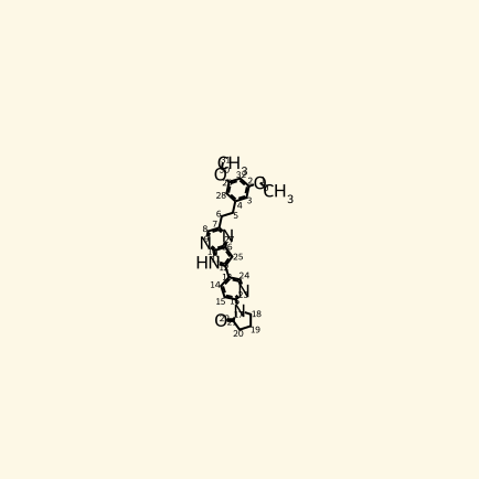 COc1cc(CCc2cnc3[nH]c(-c4ccc(N5CCCC5=O)nc4)cc3n2)cc(OC)c1